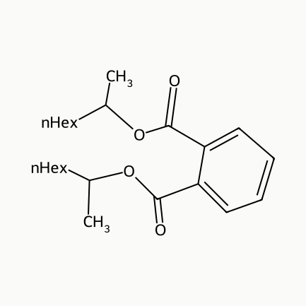 CCCCCCC(C)OC(=O)c1ccccc1C(=O)OC(C)CCCCCC